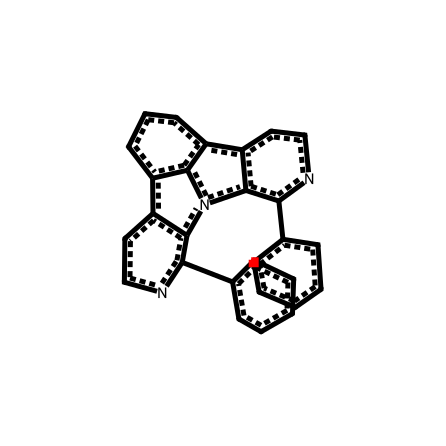 c1ccc(-c2nccc3c4cccc5c6ccnc(-c7ccccc7)c6n(c23)c45)cc1